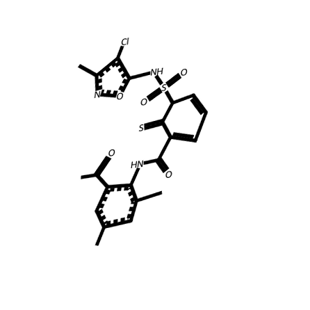 CC(=O)c1cc(C)cc(C)c1NC(=O)C1=CC=CC(S(=O)(=O)Nc2onc(C)c2Cl)C1=S